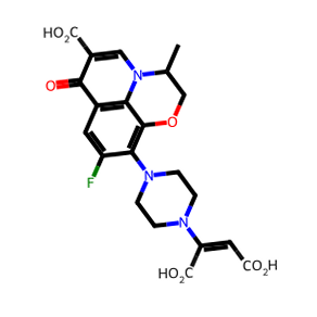 CC1COc2c(N3CCN(C(=CC(=O)O)C(=O)O)CC3)c(F)cc3c(=O)c(C(=O)O)cn1c23